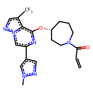 C=CC(=O)N1CCC[C@@H](Oc2nc(-c3cnn(C)c3)cn3ncc(C(F)(F)F)c23)CC1